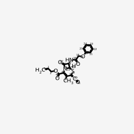 C=CCOC(=O)C1=C(C)C(=C=O)S[C@@H]2[C@H](NC(=O)COc3ccccc3)C(=O)N12